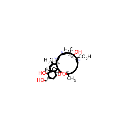 CC1=C[C@H]2[C@H](O)[C@@H](CO)CC[C@@H]2[C@@]2(C)C(=O)O[C@H](C)CCC/C=C(/C(=O)O)[C@H](O)[C@@H](C)/C=C\C=C/[C@@H]12